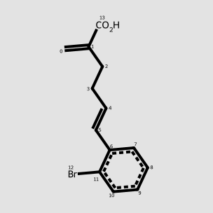 C=C(CCC=Cc1ccccc1Br)C(=O)O